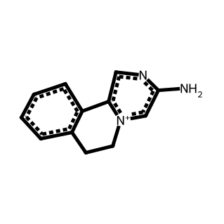 Nc1c[n+]2c(cn1)-c1ccccc1CC2